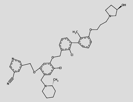 Cc1c(OCCCN2CC[C@@H](O)C2)cccc1-c1cccc(COc2cc(OCc3cncc(C#N)c3)c(CN3CCCC[C@H]3C)cc2Cl)c1Cl